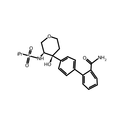 CC(C)S(=O)(=O)N[C@H]1COCC[C@]1(O)c1ccc(-c2ccccc2C(N)=O)cc1